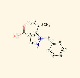 CC(C)c1c(C(=O)O)cnn1Cc1ccccc1